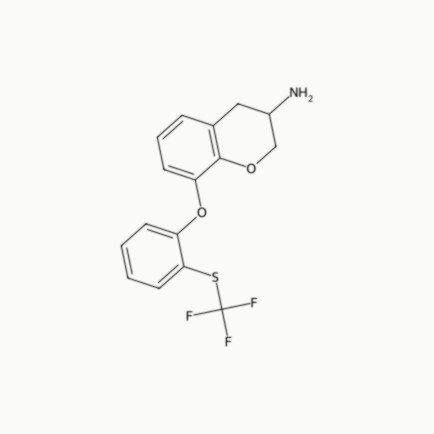 NC1COc2c(cccc2Oc2ccccc2SC(F)(F)F)C1